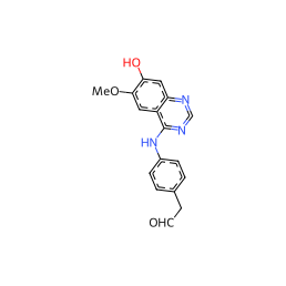 COc1cc2c(Nc3ccc(CC=O)cc3)ncnc2cc1O